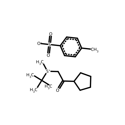 C[S+](CC(=O)C1CCCC1)C(C)(C)C.Cc1ccc(S(=O)(=O)[O-])cc1